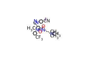 Cc1c(-c2ccnn2-c2ccc(C#N)cc2)cc(C(=O)NCCCC[N+](C)(C)C)c(=O)n1-c1cccc(C(F)(F)F)c1.[I-]